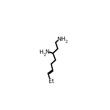 CCC=CCCC(N)CCN